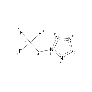 FC(F)(F)[CH]n1ncnn1